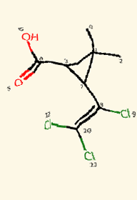 CC1(C)C(C(=O)O)C1C(Cl)=C(Cl)Cl